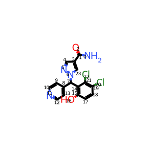 NC(=O)c1cnn(C(c2ccncc2)c2c(O)ccc(Cl)c2Cl)c1